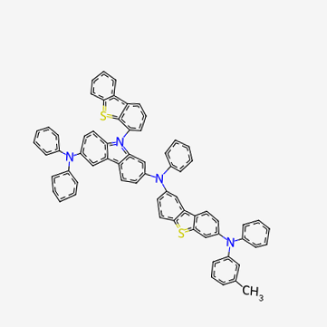 Cc1cccc(N(c2ccccc2)c2ccc3c(c2)sc2ccc(N(c4ccccc4)c4ccc5c6cc(N(c7ccccc7)c7ccccc7)ccc6n(-c6cccc7c6sc6ccccc67)c5c4)cc23)c1